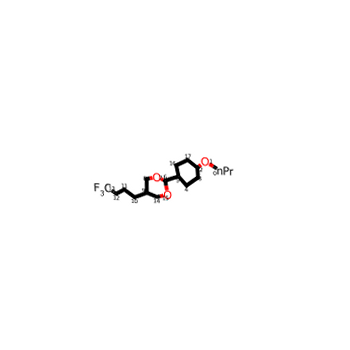 CCCOC1CCC(C2OCC(CCCC(F)(F)F)CO2)CC1